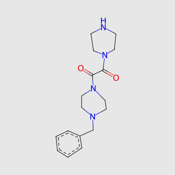 O=C(C(=O)N1CCN(Cc2ccccc2)CC1)N1CCNCC1